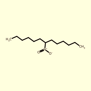 CCCCCCC(CCCCCC)[N+](=O)[O-]